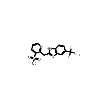 CCS(=O)(=O)c1cccnc1Cc1nc2cc(C(F)(F)C(F)(F)F)ccc2[nH]1